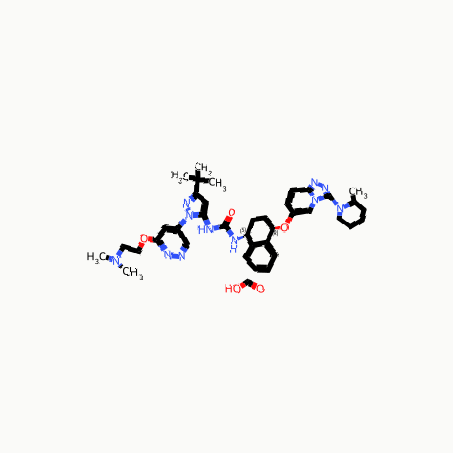 CC1CCCCN1c1nnc2ccc(O[C@@H]3CC[C@H](NC(=O)Nc4cc(C(C)(C)C)nn4-c4cnnc(OCCN(C)C)c4)c4ccccc43)cn12.O=CO